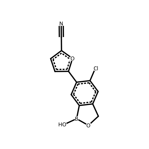 N#Cc1ccc(-c2cc3c(cc2Cl)COB3O)o1